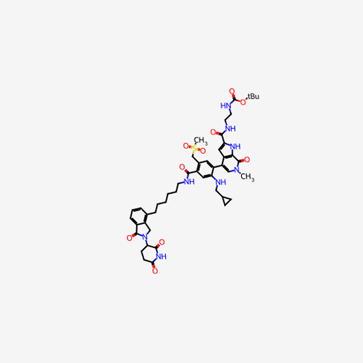 Cn1cc(-c2cc(CS(C)(=O)=O)c(C(=O)NCCCCCCc3cccc4c3CN(C3CCC(=O)NC3=O)C4=O)cc2NCC2CC2)c2cc(C(=O)NCCNC(=O)OC(C)(C)C)[nH]c2c1=O